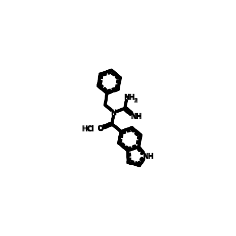 Cl.N=C(N)N(Cc1ccccc1)C(=O)c1ccc2[nH]ccc2c1